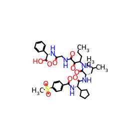 CCCC(NC(=O)[C@H](CC(C)C)NC(=O)[C@@H](NC(=O)c1ccc(S(C)(=O)=O)cc1)C1CCCC1)C(=O)C(=O)NCC(=O)N[C@H](C(=O)O)c1ccccc1